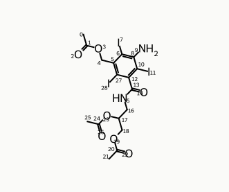 CC(=O)OCc1c(I)c(N)c(I)c(C(=O)NCC(COC(C)=O)OC(C)=O)c1I